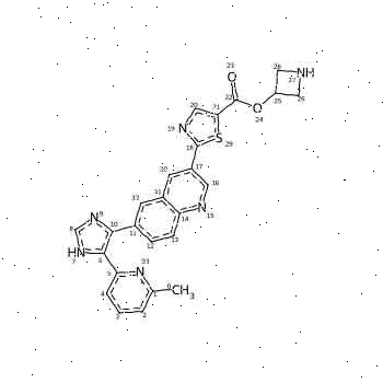 Cc1cccc(-c2[nH]cnc2-c2ccc3ncc(-c4ncc(C(=O)OC5CNC5)s4)cc3c2)n1